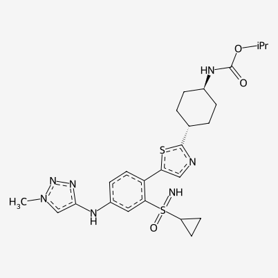 CC(C)OC(=O)N[C@H]1CC[C@H](c2ncc(-c3ccc(Nc4cn(C)nn4)cc3S(=N)(=O)C3CC3)s2)CC1